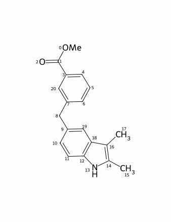 COC(=O)c1cccc(Cc2ccc3[nH]c(C)c(C)c3c2)c1